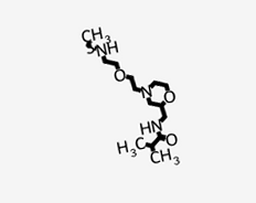 CSNCCOCCN1CCOC(CNC(=O)C(C)C)C1